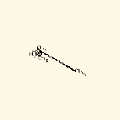 CCCCCCCCCCCCCCCCCCCC(CCC)(CCC)NN